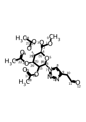 COC(=O)[C@H]1O[C@@H](n2cc(CC=O)nn2)C(OC(C)=O)[C@@H](OC(C)=O)[C@@H]1OC(C)=O